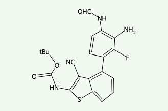 CC(C)(C)OC(=O)Nc1sc2cccc(-c3ccc(NC=O)c(N)c3F)c2c1C#N